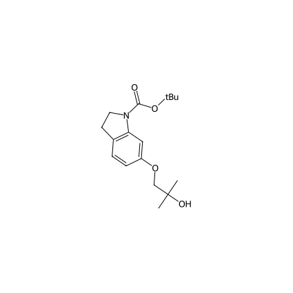 CC(C)(O)COc1ccc2c(c1)N(C(=O)OC(C)(C)C)CC2